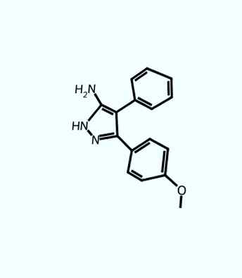 COc1ccc(-c2n[nH]c(N)c2-c2ccccc2)cc1